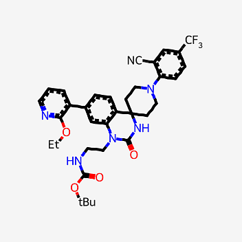 CCOc1ncccc1-c1ccc2c(c1)N(CCNC(=O)OC(C)(C)C)C(=O)NC21CCN(c2ccc(C(F)(F)F)cc2C#N)CC1